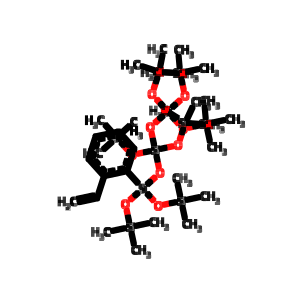 C=Cc1ccccc1[Si](O[Si](C)(C)C)(O[Si](C)(C)C)O[Si](O[Si](C)(C)C)(O[Si](C)(C)C)O[Si](O[Si](C)(C)C)(O[Si](C)(C)C)O[Si](C)(C)C